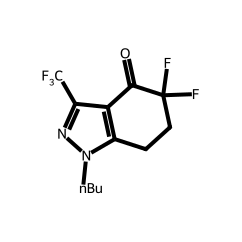 CCCCn1nc(C(F)(F)F)c2c1CCC(F)(F)C2=O